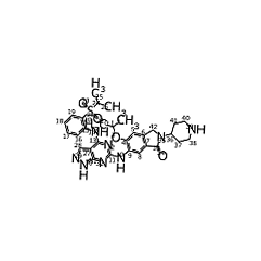 CC(C)Oc1cc2c(cc1Nc1nc(Nc3ccccc3S(=O)(=O)C(C)C)c3cn[nH]c3n1)C(=O)N(C1CCNCC1)C2